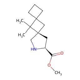 COC(=O)[C@@H]1C[C@]2(CN1)CC1(CCC1)C2(C)C